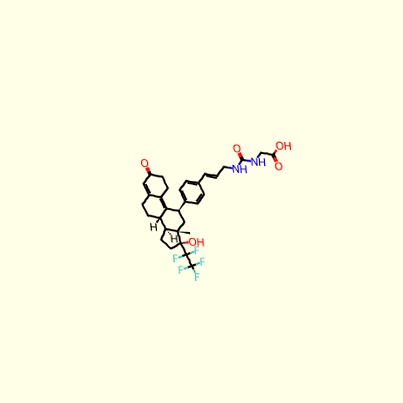 C[C@]12C[C@H](c3ccc(C=CCNC(=O)NCC(=O)O)cc3)C3=C4CCC(=O)C=C4CC[C@H]3[C@@H]1CC[C@@]2(O)C(F)(F)C(F)(F)F